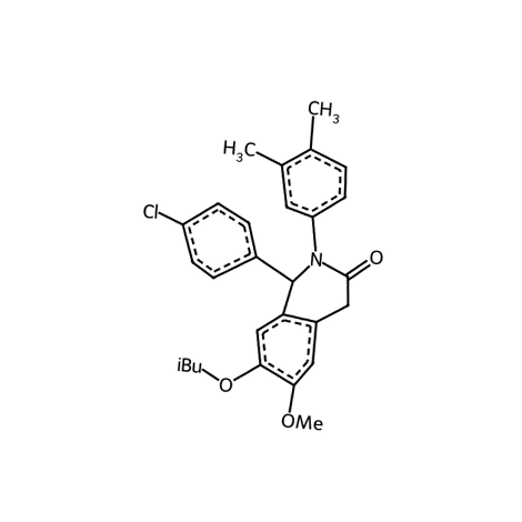 CCC(C)Oc1cc2c(cc1OC)CC(=O)N(c1ccc(C)c(C)c1)C2c1ccc(Cl)cc1